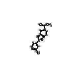 CC(=O)c1ccc2oc(-c3ccnc(Cl)c3)nc2c1